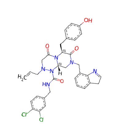 C=CCN1CC(=O)N2[C@@H](Cc3ccc(O)cc3)C(=O)N(Cc3cccc4c3N=CC4)C[C@@H]2N1C(=O)NCc1ccc(Cl)c(Cl)c1